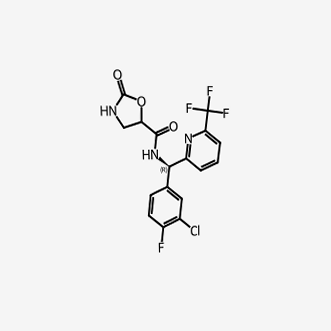 O=C1NCC(C(=O)N[C@H](c2ccc(F)c(Cl)c2)c2cccc(C(F)(F)F)n2)O1